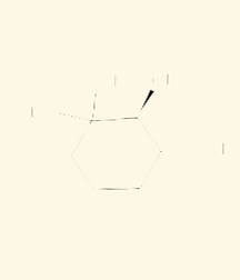 C[C@@H]1CCCC(C)(C)[C@H]1O